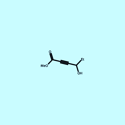 CCC(O)C#CC(=O)OC